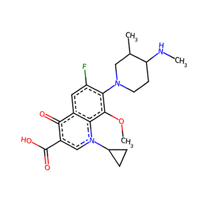 CNC1CCN(c2c(F)cc3c(=O)c(C(=O)O)cn(C4CC4)c3c2OC)CC1C